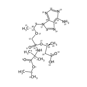 CC(C)OC(=O)C(C)(C)NP(=O)(CO[C@H](C)Cn1cnc2c(N)ncnc21)O[C@@H](C)CC(=O)O